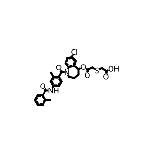 Cc1ccccc1C(=O)Nc1ccc(C(=O)N2CCCC(OC(=O)CSCC(=O)O)c3cc(Cl)ccc32)c(C)c1